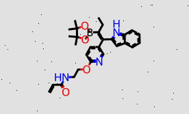 C=CC(=O)NCCOc1ccc(/C(=C(/CC)B2OC(C)(C)C(C)(C)O2)c2cc3ccccc3[nH]2)cn1